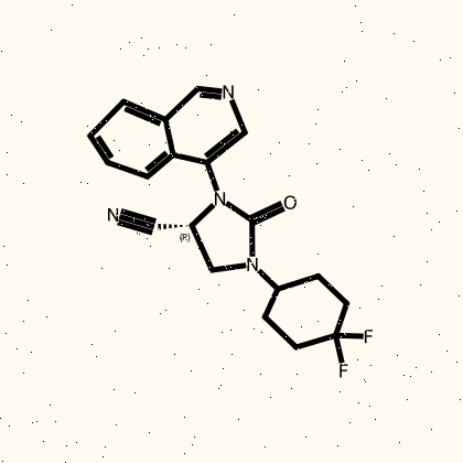 N#C[C@H]1CN(C2CCC(F)(F)CC2)C(=O)N1c1cncc2ccccc12